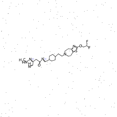 CN/N=C(\C=N)CC(=O)/N=C/C1CCC(CCN2CCc3nc(OCC(F)F)sc3CC2)CC1